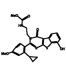 COC(=O)NCCn1c(-c2ccc(OC)cc2C2CC2)nc2sc3c(O)cccc3c2c1=O